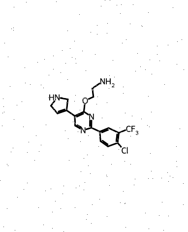 NCCOc1nc(-c2ccc(Cl)c(C(F)(F)F)c2)ncc1C1=CCNC1